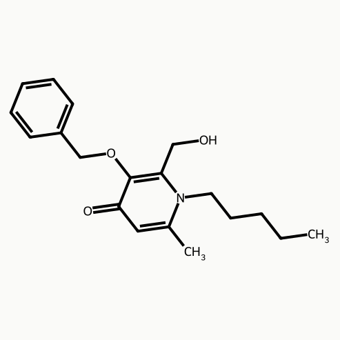 CCCCCn1c(C)cc(=O)c(OCc2ccccc2)c1CO